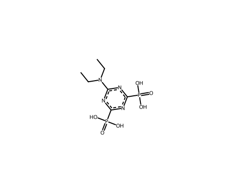 CCN(CC)c1nc(P(=O)(O)O)nc(P(=O)(O)O)n1